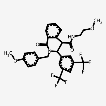 COCCNC(=O)C1c2ccccc2C(=O)N(Cc2ccc(OC)cc2)C1c1cc(C(F)(F)F)cc(C(F)(F)F)c1